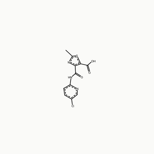 Cc1nc(C(=O)Nc2ccc(Cl)cn2)c(C(=O)O)s1